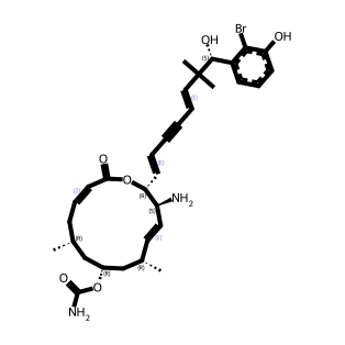 C[C@@H]1C/C=C\C(=O)O[C@H](/C=C/C#C/C=C/C(C)(C)[C@H](O)c2cccc(O)c2Br)[C@@H](N)/C=C/[C@H](C)C[C@H](OC(N)=O)C1